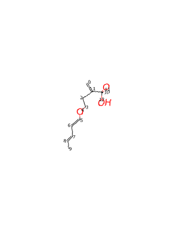 C=C(CCOC=CC=CC)C(=O)O